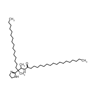 CCCCCCCCCCCCCCCCCC(=O)NC(C)C(C)(CCCCCCCCCCCCCCCC)C1=NCCN1